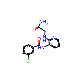 NC(=O)CNc1ncccc1NC(=O)c1cccc(Cl)c1